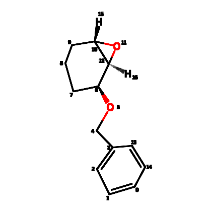 c1ccc(CO[C@H]2CCC[C@@H]3O[C@@H]23)cc1